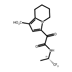 C[C@H](NC(=O)C(=O)c1cc(C(=O)O)c2n1CCCC2)C(F)(F)F